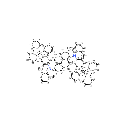 CCc1cccc(CC)c1N(c1ccc(C2(c3ccccc3)c3ccccc3-c3ccccc32)cc1)c1ccc2ccc3c(N(c4ccc(C5(c6ccccc6)c6ccccc6-c6ccccc65)cc4)c4c(CC)cccc4CC)ccc4ccc1c2c43